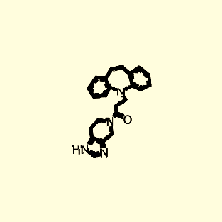 O=C(CCN1c2ccccc2CCc2ccccc21)N1CCc2[nH]cnc2C1